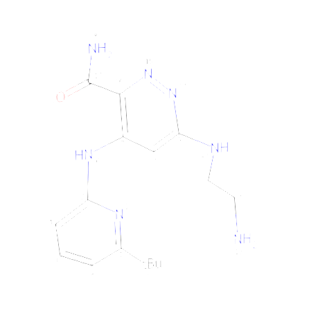 CC(C)(C)c1cccc(Nc2cc(NCCN)nnc2C(N)=O)n1